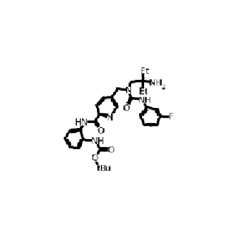 CCC(N)(CC)CN(Cc1ccc(C(=O)Nc2ccccc2NC(=O)OC(C)(C)C)nc1)C(=O)Nc1cccc(F)c1